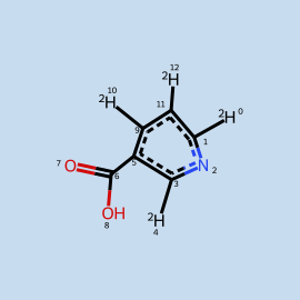 [2H]c1nc([2H])c(C(=O)O)c([2H])c1[2H]